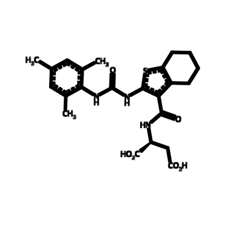 Cc1cc(C)c(NC(=O)Nc2sc3c(c2C(=O)N[C@@H](CC(=O)O)C(=O)O)CCCC3)c(C)c1